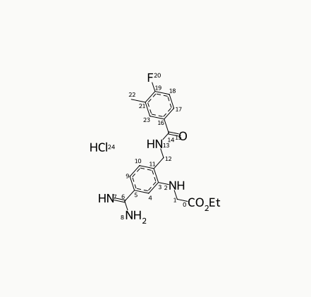 CCOC(=O)CNc1cc(C(=N)N)ccc1CNC(=O)c1ccc(F)c(C)c1.Cl